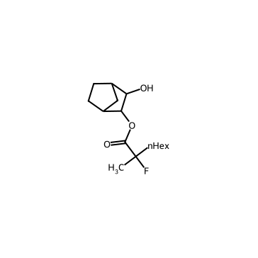 CCCCCCC(C)(F)C(=O)OC1C2CCC(C2)C1O